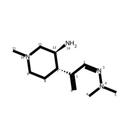 C=C(/C=N\N(C)C)[C@@H]1CCN(C)C[C@H]1N